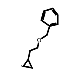 [C]1CC1CCOCc1ccccc1